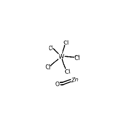 [Cl][W]([Cl])([Cl])([Cl])[Cl].[O]=[Zn]